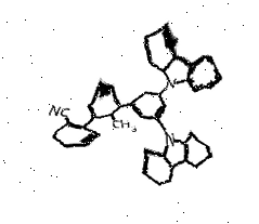 CC1C(C2=C(C#N)CCC=C2)=CC=CC1C1=CC(N2C3=C(CCCC3)C3CCC=CC32)=CC(N2c3ccccc3C3C=CC=CC32)C1